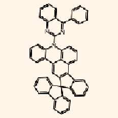 c1ccc(-c2nc(N3c4ccccc4-c4cc5c(c6cccc3c46)-c3ccccc3C53c4ccccc4-c4ccccc43)nc3ccccc23)cc1